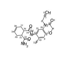 C#CCN1C(=O)COc2cc(F)c(NC(=O)C3CC=CCC3C(N)=O)cc21